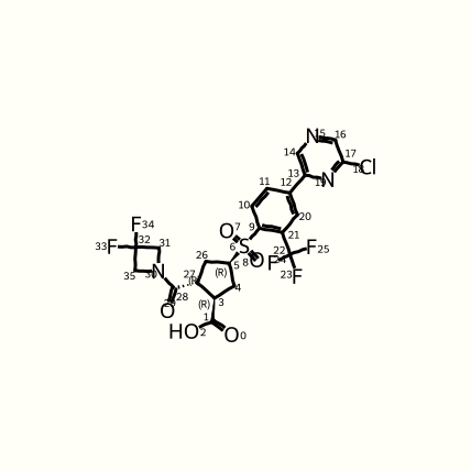 O=C(O)[C@@H]1C[C@H](S(=O)(=O)c2ccc(-c3cncc(Cl)n3)cc2C(F)(F)F)C[C@H]1C(=O)N1CC(F)(F)C1